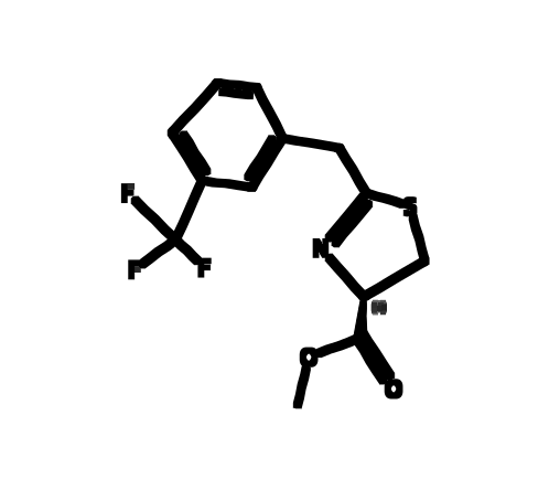 COC(=O)[C@@H]1CSC(Cc2cccc(C(F)(F)F)c2)=N1